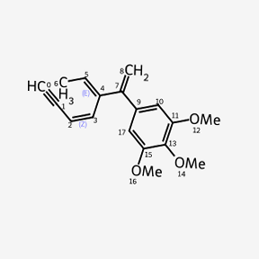 C#C/C=C\C(=C/C)C(=C)c1cc(OC)c(OC)c(OC)c1